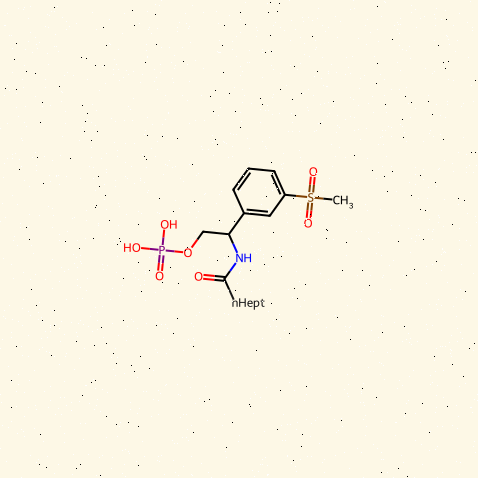 CCCCCCCC(=O)NC(COP(=O)(O)O)c1cccc(S(C)(=O)=O)c1